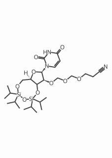 CC(C)[Si]1(C(C)C)OC[C@H]2O[C@@H](n3ccc(=O)[nH]c3=O)[C@@H](OCOCOCCC#N)C2O[Si](C(C)C)(C(C)C)O1